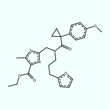 CCOC(=O)c1nc(CN(CCCc2ccco2)C(=O)C2(c3ccc(OC)cc3)CC2)sc1C